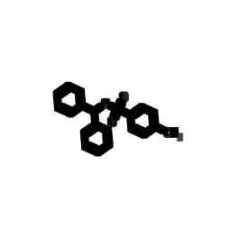 Cc1ccc(S(=O)(=O)OC(c2ccccc2)c2ccccc2)cc1